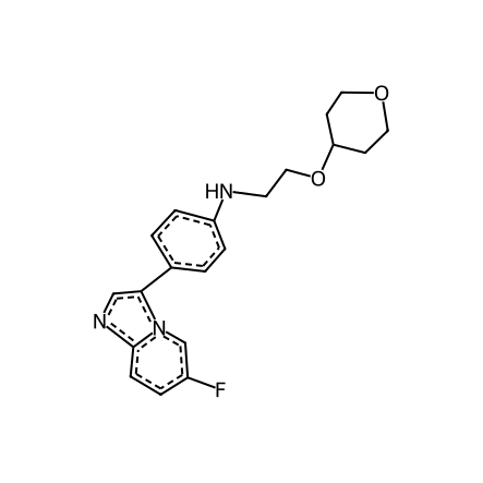 Fc1ccc2ncc(-c3ccc(NCCOC4CCOCC4)cc3)n2c1